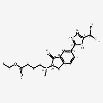 CCOC(=O)CCCN(C)N1Cc2ccc(-c3nnc(C(F)F)o3)cc2C1=O